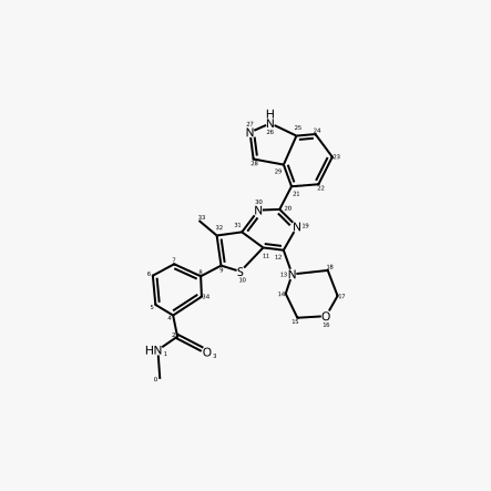 CNC(=O)c1cccc(-c2sc3c(N4CCOCC4)nc(-c4cccc5[nH]ncc45)nc3c2C)c1